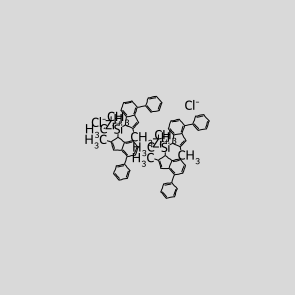 CC1=Cc2c(-c3ccccc3)cccc2C1[SiH](C1C(C)=Cc2c(-c3ccccc3)cccc21)[Zr+]([CH3])[CH3].CC1=Cc2c(-c3ccccc3)cccc2C1[SiH](C1C(C)=Cc2c(-c3ccccc3)cccc21)[Zr+]([CH3])[CH3].[Cl-].[Cl-]